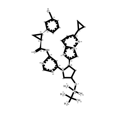 CC(C)(C)[Si](C)(C)OC1C[C@H](c2cn3nc(C4CC4)ccc3n2)N(c2cc(NC(=O)[C@H]3C[C@@H]3c3cccc(Cl)c3)ncn2)C1